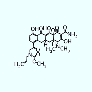 C=CCN(CC(=O)c1ccc(O)c2c1C[C@H]1C[C@H]3[C@@H](N(C)C)C(O)=C(C(N)=O)C(=O)[C@@]3(O)C(O)=C1C2=O)C(=O)OC